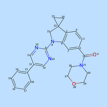 O=C(c1ccc2c(c1)N(c1ncc(-c3ccccc3)cn1)CC21CC1)N1CCOCC1